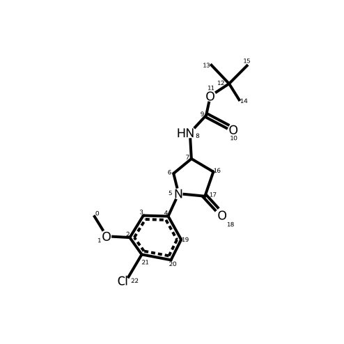 COc1cc(N2CC(NC(=O)OC(C)(C)C)CC2=O)ccc1Cl